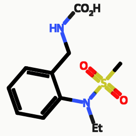 CCN(c1ccccc1CNC(=O)O)S(C)(=O)=O